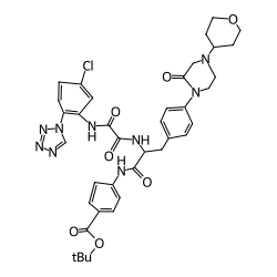 CC(C)(C)OC(=O)c1ccc(NC(=O)C(Cc2ccc(N3CCN(C4CCOCC4)CC3=O)cc2)NC(=O)C(=O)Nc2cc(Cl)ccc2-n2cnnn2)cc1